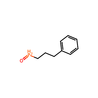 O=[PH2]CCCc1ccccc1